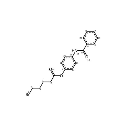 O=C(CCCCBr)Oc1ccc(NC(=O)c2ccccc2)cc1